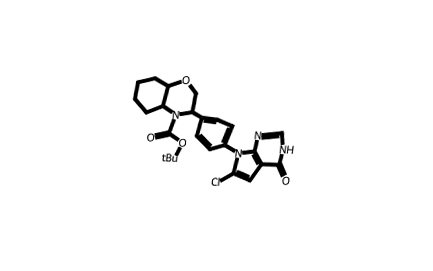 CC(C)(C)OC(=O)N1C(c2ccc(-n3c(Cl)cc4c(=O)[nH]cnc43)cc2)COC2CCCCC21